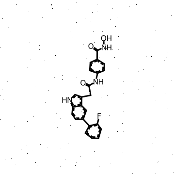 O=C(Cc1c[nH]c2ccc(-c3ccccc3F)cc12)Nc1ccc(C(=O)NO)cc1